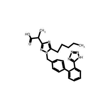 CCCCCc1nc(C(C)C(=O)O)nn1Cc1ccc(-c2ccccc2-c2nnn[nH]2)cc1